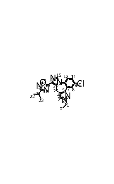 CCn1cc2c(n1)-c1cc(Cl)ccc1-n1cnc(-c3nc(C(C)C)no3)c1C2